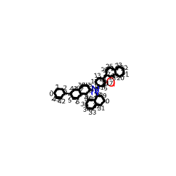 c1ccc(-c2ccc3cc(N(c4ccc5c(c4)oc4c6ccccc6ccc54)c4cccc5ccccc45)ccc3c2)cc1